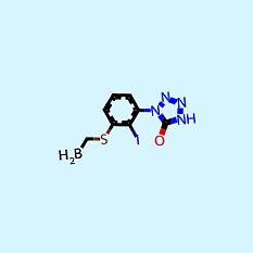 BCSc1cccc(-n2nn[nH]c2=O)c1I